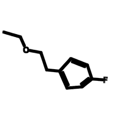 CCOCCc1ccc(F)cc1